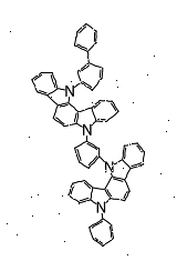 c1ccc(-c2cccc(-n3c4ccccc4c4ccc5c(c6ccccc6n5-c5cccc(-n6c7ccccc7c7ccc8c(c9ccccc9n8-c8ccccc8)c76)c5)c43)c2)cc1